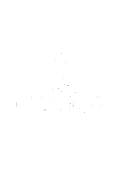 CC(C)C[C@H](NC(=O)OCc1ccccc1)C(=O)N[C@@H](Cc1ccccc1)C(=O)O.O=CC(C(=O)O)c1c(F)cccc1F